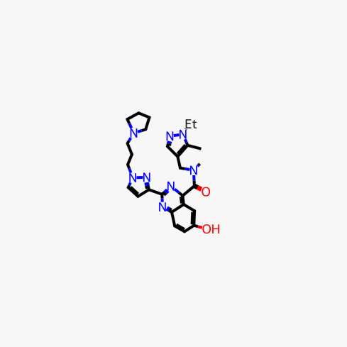 CCn1ncc(CN(C)C(=O)c2nc(-c3ccn(CCCN4CCCC4)n3)nc3ccc(O)cc23)c1C